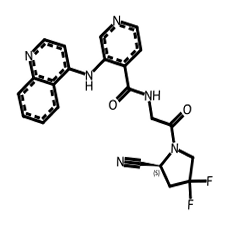 N#C[C@@H]1CC(F)(F)CN1C(=O)CNC(=O)c1ccncc1Nc1ccnc2ccccc12